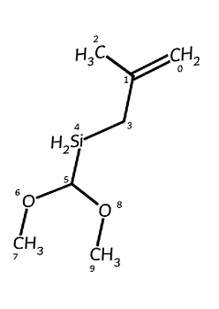 C=C(C)C[SiH2]C(OC)OC